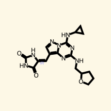 O=C1NC(=O)/C(=C/c2cnn3c(NC4CC4)nc(NCC4CCCO4)nc23)N1